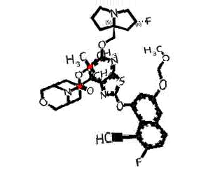 C#Cc1c(F)ccc2cc(OCOC)cc(Oc3nc4c(N5CC6COCC(C5)N6C(=O)OC(C)(C)C)nc(OC[C@@]56CCCN5C[C@H](F)C6)nc4s3)c12